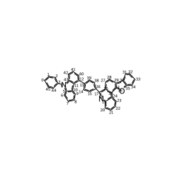 c1ccc(-n2c3ccccc3c3c(-c4ccc(-c5nc6ccccc6c6c5ccc5c7ccccc7oc56)cc4)cccc32)cc1